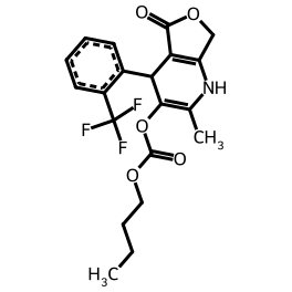 CCCCOC(=O)OC1=C(C)NC2=C(C(=O)OC2)C1c1ccccc1C(F)(F)F